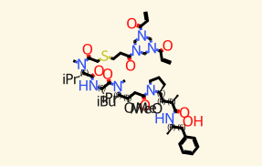 C=CC(=O)N1CN(C(=O)C=C)CN(C(=O)CCSCC(=O)N(C)[C@H](C(=O)N[C@H](C(=O)N(C)[C@@H](C(C)CC)[C@@H](CC(=O)N2CCC[C@H]2[C@H](OC)[C@@H](C)C(=O)N[C@H](C)[C@@H](O)c2ccccc2)OC)C(C)C)C(C)C)C1